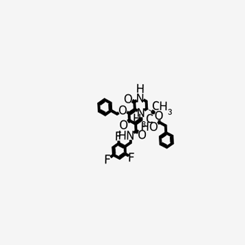 CC(C)(OC(O)Cc1ccccc1)[C@H]1CNC(=O)c2c(OCc3ccccc3)c(=O)c(C(=O)NCc3c(F)cc(F)cc3F)cn21